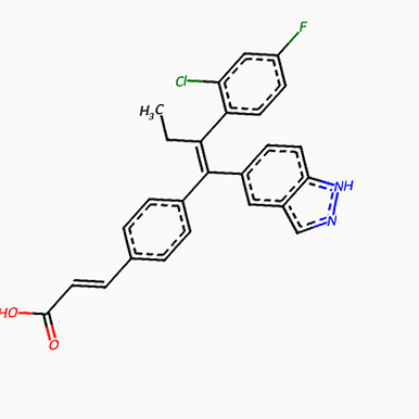 CC/C(=C(\c1ccc(C=CC(=O)O)cc1)c1ccc2[nH]ncc2c1)c1ccc(F)cc1Cl